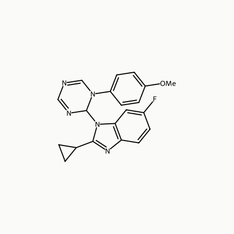 COc1ccc(N2C=NC=NC2n2c(C3CC3)nc3ccc(F)cc32)cc1